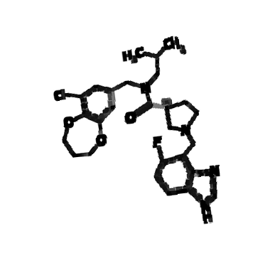 CC(C)CN(Cc1cc(Cl)c2c(c1)OCCCO2)C(=O)[C@@H]1CCN(Cc2c(F)ccc3[nH]cnc23)C1